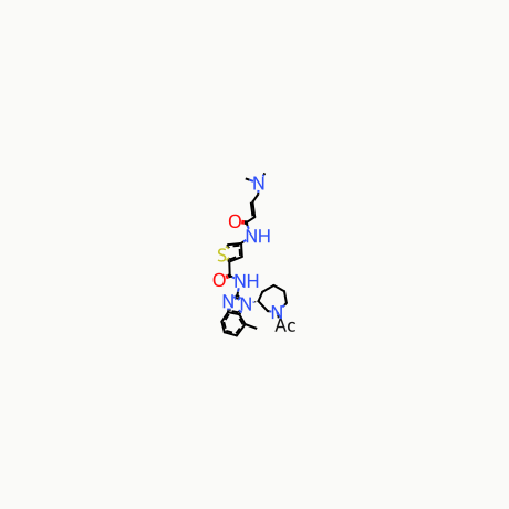 CC(=O)N1CCCC[C@@H](n2c(NC(=O)c3cc(NC(=O)/C=C/CN(C)C)cs3)nc3cccc(C)c32)C1